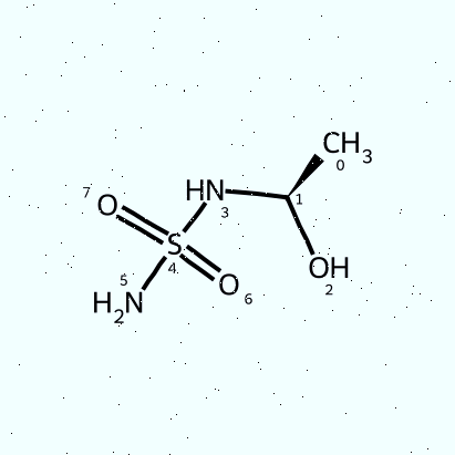 C[C@@H](O)NS(N)(=O)=O